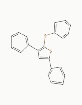 c1ccc(Sc2sc(-c3ccccc3)cc2-c2ccccc2)cc1